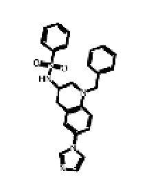 O=S(=O)(NC1Cc2cc(-n3ccnc3)ccc2N(Cc2ccccc2)C1)c1ccccc1